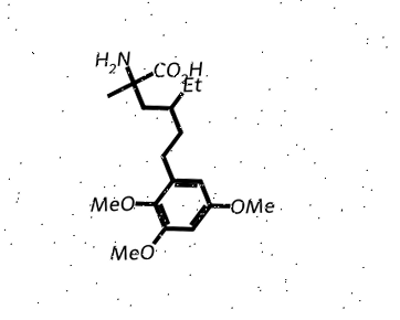 CCC(CCc1cc(OC)cc(OC)c1OC)CC(C)(N)C(=O)O